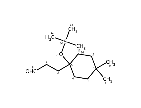 CC1(C)CCC(CCC=O)(O[Si](C)(C)C)CC1